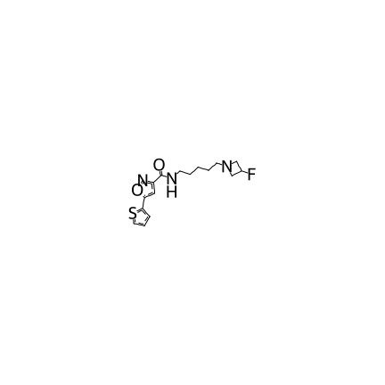 O=C(NCCCCCN1CC(F)C1)c1cc(-c2cccs2)on1